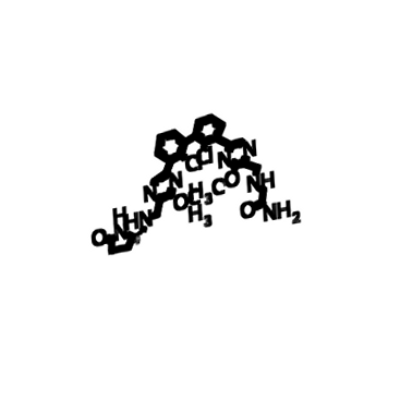 COc1nc(-c2cccc(-c3cccc(-c4cnc(CNC[C@@H]5CCC(=O)N5)c(OC)n4)c3Cl)c2Cl)cnc1CNCC(N)=O